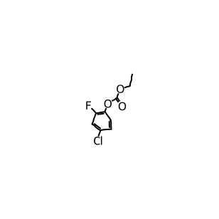 CCOC(=O)Oc1ccc(Cl)cc1F